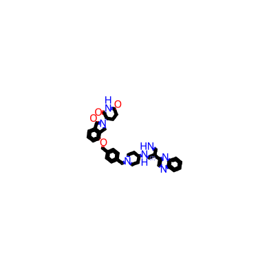 N=C/C(=C\NC1CCN(Cc2ccc(COc3cccc4c3CN(C3CCC(=O)NC3=O)C4=O)cc2)CC1)c1cnc2ccccc2n1